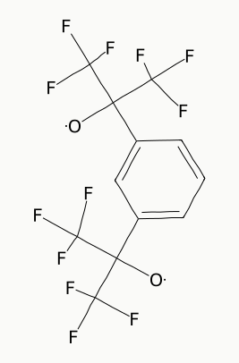 [O]C(c1cccc(C([O])(C(F)(F)F)C(F)(F)F)c1)(C(F)(F)F)C(F)(F)F